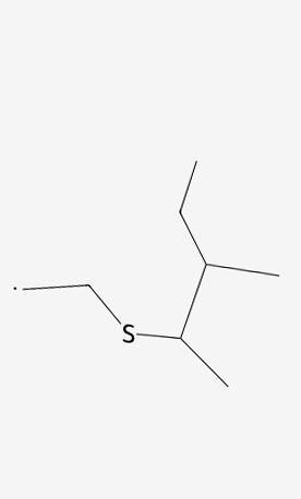 [CH2]CSC(C)C(C)CC